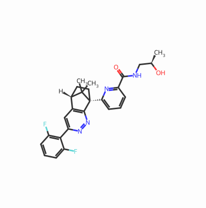 C[C@@H](O)CNC(=O)c1cccc([C@]23CC[C@@H](c4cc(-c5c(F)cccc5F)nnc42)C3(C)C)n1